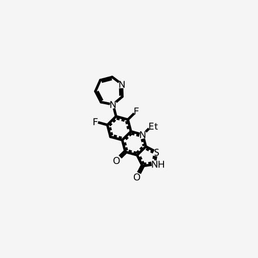 CCn1c2s[nH]c(=O)c2c(=O)c2cc(F)c(N3C=CC=CN=C3)c(F)c21